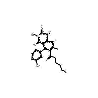 CCn1c(=O)c2c(-c3cccc([N+](=O)[O-])c3)c(C(=O)CCCCCl)c(C)nc2n(CC)c1=O